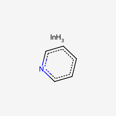 [InH3].c1ccncc1